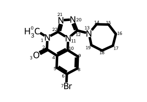 Cn1c(=O)c2cc(Br)ccc2n2c(N3CCCCCC3)nnc12